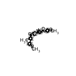 CCOc1cccc(-c2ccc(C(=O)N3CCN(c4ccc(C(=O)Nc5ccc(OC)cc5)nn4)CC3)cc2C)c1